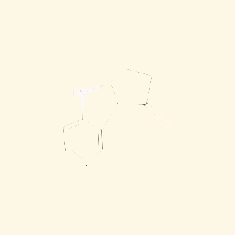 O=C1CCC2Nc3ccccc3C12